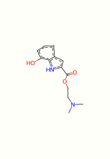 CN(C)CCOC(=O)c1cc2cccc(O)c2[nH]1